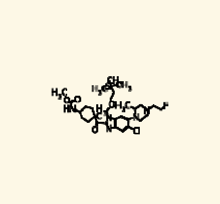 COC(=O)NC1CCC(C)(C(=O)c2nc3cc(Cl)c(N4CCN(CCF)CC4C)cc3n2COCC[Si](C)(C)C)CC1